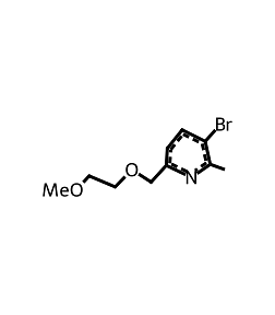 COCCOCc1ccc(Br)c(C)n1